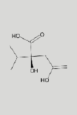 C=C(O)C[C@@](O)(C(=O)O)C(C)C